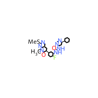 CSc1ncc2cc(-c3ccc(F)c(NC(=O)Nc4cc(-c5ccccc5)ncn4)c3)c(=O)n(C)c2n1